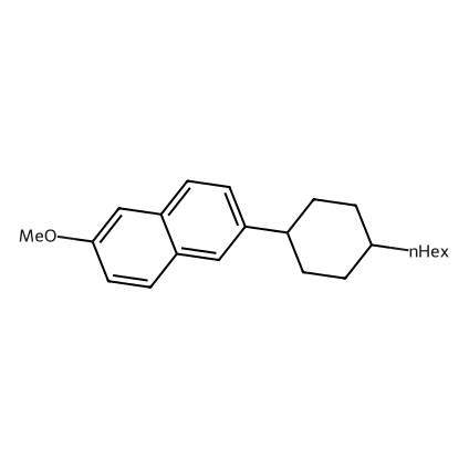 CCCCCCC1CCC(c2ccc3cc(OC)ccc3c2)CC1